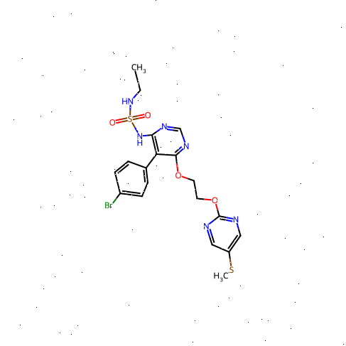 CCNS(=O)(=O)Nc1ncnc(OCCOc2ncc(SC)cn2)c1-c1ccc(Br)cc1